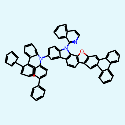 C1=C=C(c2ccccc2N(C2=CC=C(c3ccccc3)CC2)c2ccc3c(c2)c2ccc4c5cc6c7ccccc7c7ccccc7c6cc5oc4c2n3-c2nccc3ccccc23)C(c2ccccc2)=CC=1